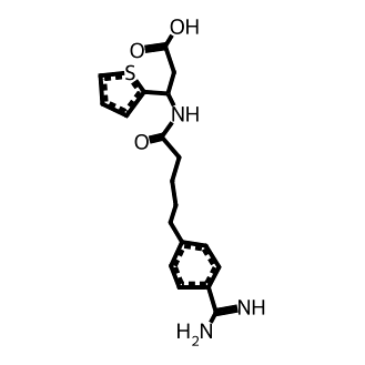 N=C(N)c1ccc(CCCCC(=O)NC(CC(=O)O)c2cccs2)cc1